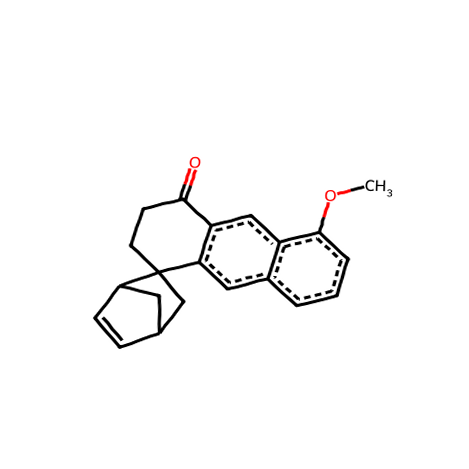 COc1cccc2cc3c(cc12)C(=O)CCC31CC2C=CC1C2